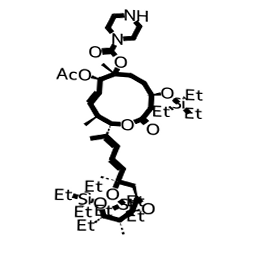 CC[C@H](O[Si](CC)(CC)CC)[C@@H](C)[C@H]1O[C@@H]1C[C@](C)(/C=C/C=C(\C)[C@H]1OC(=O)C[C@H](O[Si](CC)(CC)CC)CC[C@@](C)(OC(=O)N2CCNCC2)[C@H](OC(C)=O)/C=C/[C@@H]1C)O[Si](CC)(CC)CC